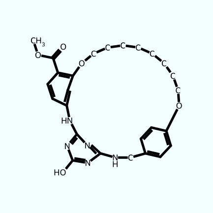 COC(=O)c1ccc2cc1OCCCCCCCCOc1ccc(cc1)CNc1nc(O)nc(n1)N2